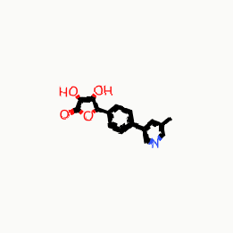 Cc1cncc(-c2ccc(C3OC(=O)C(O)=C3O)cc2)c1